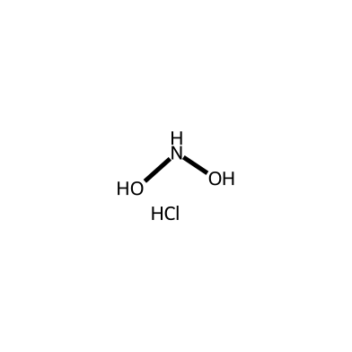 Cl.ONO